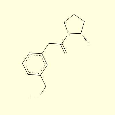 CC(=O)[C@@H]1CCCN1C(=O)Cc1cccc(CC(=O)O)c1